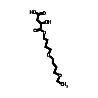 CCOCCCCOCCCCOC(=O)C(O)CC(=O)O